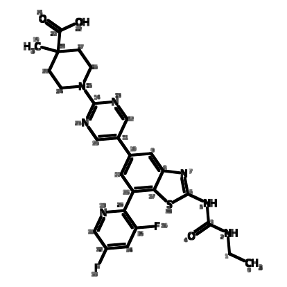 CCNC(=O)Nc1nc2cc(-c3cnc(N4CCC(C)(C(=O)O)CC4)nc3)cc(-c3ncc(F)cc3F)c2s1